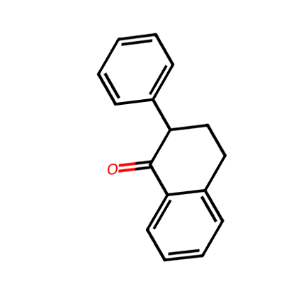 O=C1c2ccccc2CCC1c1ccccc1